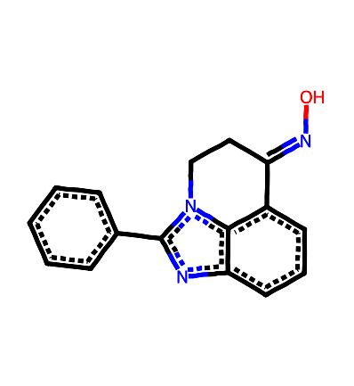 ON=C1CCn2c(-c3ccccc3)nc3cccc1c32